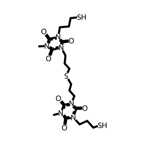 Cn1c(=O)n(CCCS)c(=O)n(CCCSCCCn2c(=O)n(C)c(=O)n(CCCS)c2=O)c1=O